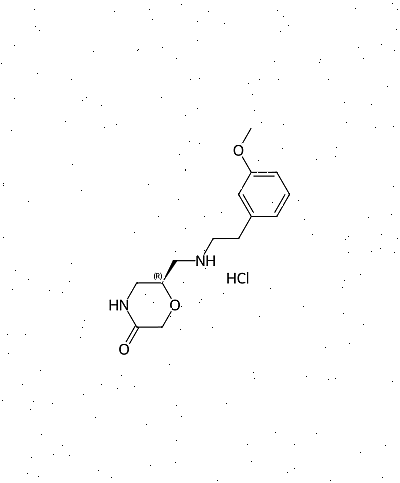 COc1cccc(CCNC[C@@H]2CNC(=O)CO2)c1.Cl